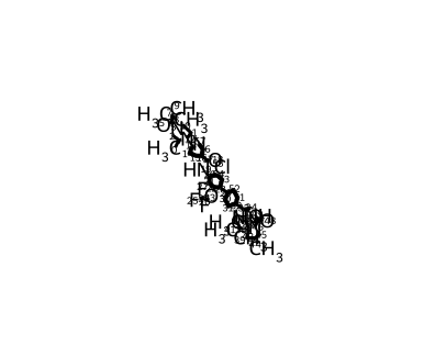 CC1CN(C(=O)C(C)(C)C)CCN1c1ccc(C(=O)Nc2cc(OC(F)(F)F)c(-c3ccc(-c4c[nH]c([C@@]5(C(C)(C)C)C[C@H](C)CN5C(=O)O)n4)cc3)cc2Cl)cn1